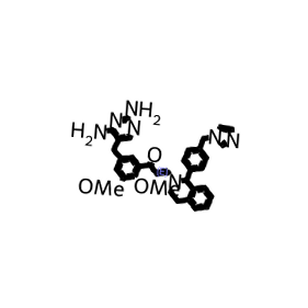 COc1cc(Cc2cnc(N)nc2N)cc(C(=O)/C=C/N2CCc3ccccc3C2c2ccc(Cn3ccnc3)cc2)c1OC